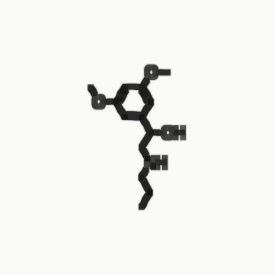 CCCNCC(O)c1cc(OC)cc(OC)c1